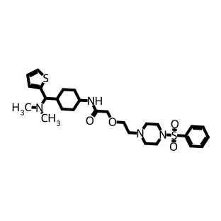 CN(C)C(c1cccs1)C1CCC(NC(=O)COCCN2CCN(S(=O)(=O)c3ccccc3)CC2)CC1